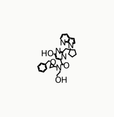 O=C(c1nc(CC2(n3ccc4cccnc43)CCCC2)nc(O)c1OCc1ccccc1)N(CCO)C1CC1